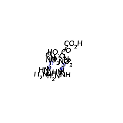 N=C(N)N/N=C/C=C/c1cccn1-c1ccccc1[N+](=O)[O-].N=C(N)N/N=C/C=C/c1cccn1-c1ccccc1[N+](=O)[O-].O=C(O)CCC(=O)C(=O)O